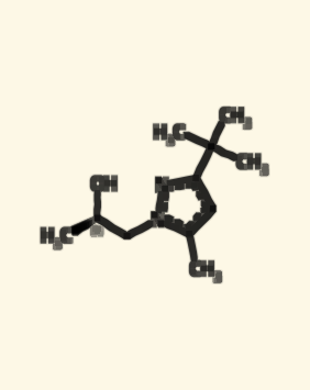 Cc1cc(C(C)(C)C)nn1C[C@@H](C)O